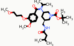 COCCCOc1cc(C(=O)N(C(C)C)[C@@H]2C[C@H](CNC(=O)CC(C)C)CN(C(=O)OC(C)(C)C)C2)ccc1OC